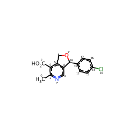 Cc1ncc2c(c1C(=O)O)CO[C@H]2c1ccc(Cl)cc1